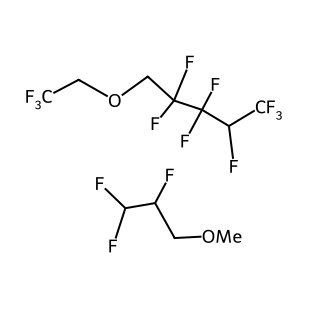 COCC(F)C(F)F.FC(C(F)(F)F)C(F)(F)C(F)(F)COCC(F)(F)F